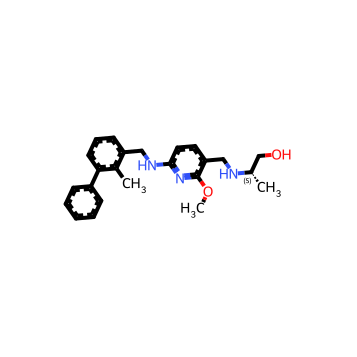 COc1nc(NCc2cccc(-c3ccccc3)c2C)ccc1CN[C@@H](C)CO